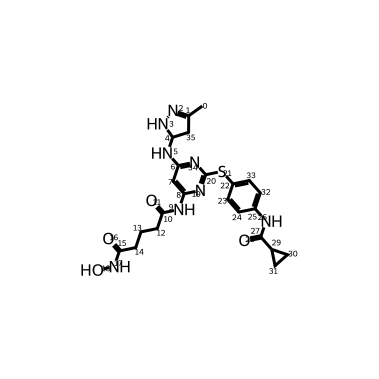 CC1=NNC(Nc2cc(NC(=O)CCCC(=O)NO)nc(Sc3ccc(NC(=O)C4CC4)cc3)n2)C1